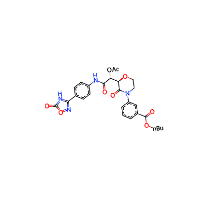 CCCCOC(=O)c1cccc(N2CCO[C@H]([C@@H](OC(C)=O)C(=O)Nc3ccc(-c4noc(=O)[nH]4)cc3)C2=O)c1